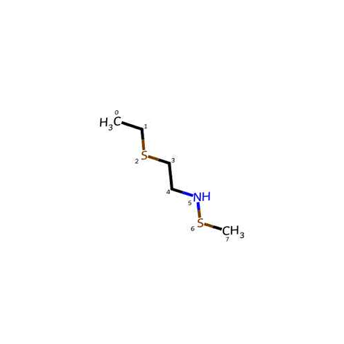 CCSCCNSC